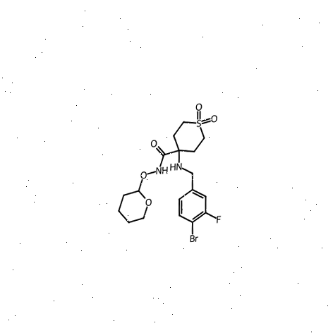 O=C(NOC1CCCCO1)C1(NCc2ccc(Br)c(F)c2)CCS(=O)(=O)CC1